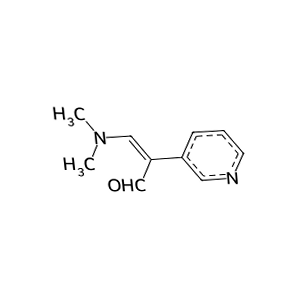 CN(C)/C=C(\C=O)c1cccnc1